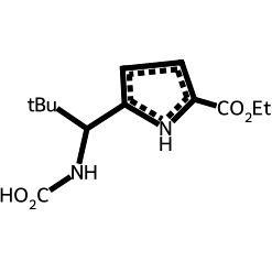 CCOC(=O)c1ccc(C(NC(=O)O)C(C)(C)C)[nH]1